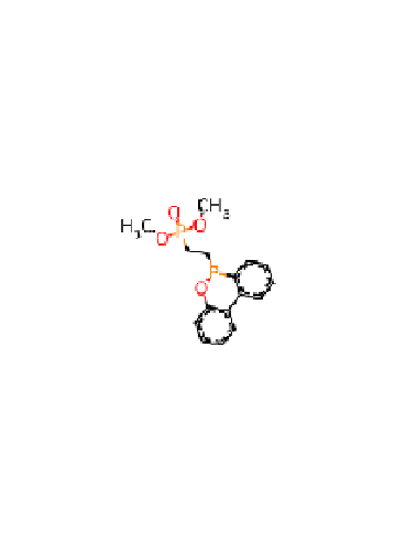 COP(=O)(CCP1Oc2ccccc2-c2ccccc21)OC